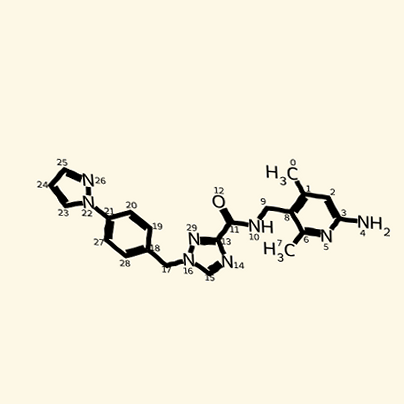 Cc1cc(N)nc(C)c1CNC(=O)c1ncn(Cc2ccc(-n3cccn3)cc2)n1